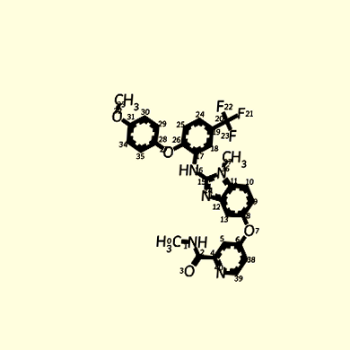 CNC(=O)c1cc(Oc2ccc3c(c2)nc(Nc2cc(C(F)(F)F)ccc2Oc2ccc(OC)cc2)n3C)ccn1